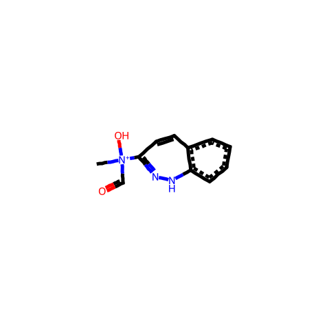 C[N+](O)(C=O)C1=NNc2ccccc2C=C1